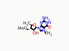 COC[C@H]1[C@@H](O)[C@H](n2c[n+](C)c3c(=O)[nH]c(N)nc32)O[C@@H]1C